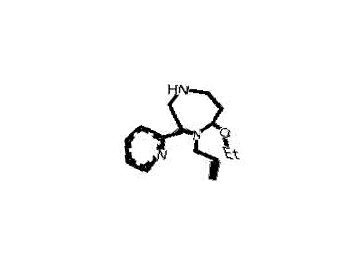 C=CCN1C(OCC)CCNCC1c1ccccn1